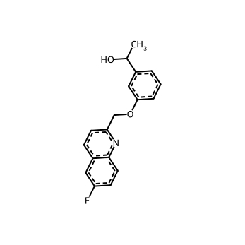 CC(O)c1cccc(OCc2ccc3cc(F)ccc3n2)c1